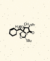 CCC[C@H]1C(=O)N2[C@H](C(C)(C)C)OC[C@@]2([C@H](C)[C@@H]2C=CCCC2)[C@@]1(C)O